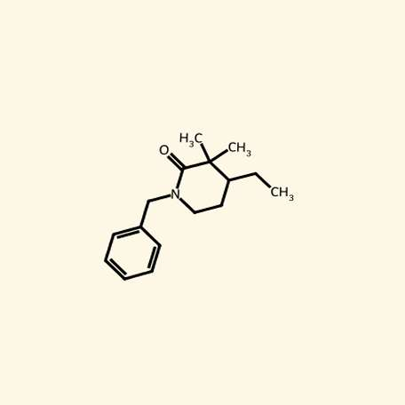 CCC1CCN(Cc2ccccc2)C(=O)C1(C)C